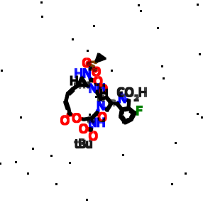 CC(C)(C)OC(=O)N[C@H]1COC(=O)C=CC=C[C@@H]2C[C@@]2(C(=O)NS(=O)(=O)C2CC2)NC(=O)[C@@H]2C[C@@H](C3c4cccc(F)c4CN3C(=O)O)CN2C1=O